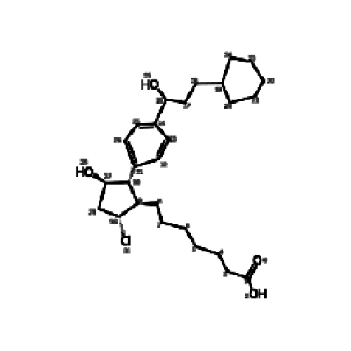 O=C(O)CCCCCC[C@@H]1[C@@H](c2ccc(C(O)CCC3CCCCC3)cc2)[C@H](O)C[C@H]1Cl